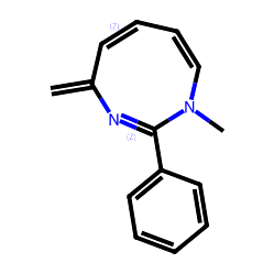 C=C1/C=C\C=CN(C)/C(c2ccccc2)=N\1